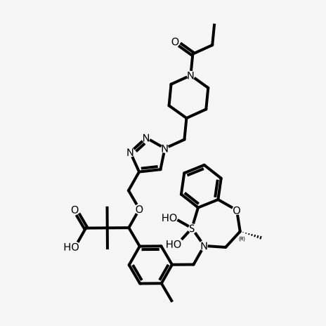 CCC(=O)N1CCC(Cn2cc(COC(c3ccc(C)c(CN4C[C@@H](C)Oc5ccccc5S4(O)O)c3)C(C)(C)C(=O)O)nn2)CC1